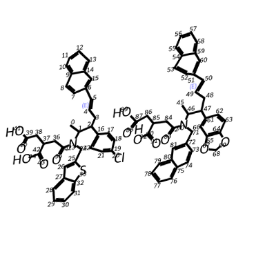 CC(C(C/C=C/c1ccc2ccccc2c1)c1ccc(Cl)cc1)N(Cc1cc2ccccc2s1)C(=O)CC(CC(=O)O)C(=O)O.CC(C(C/C=C/c1ccc2ccccc2c1)c1ccc2c(c1)OCO2)N(Cc1ccc2ccccc2c1)C(=O)CC(CC(=O)O)C(=O)O